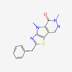 Cn1ncc2c3sc(Cc4ccccc4)nc3n(C)c2c1=O